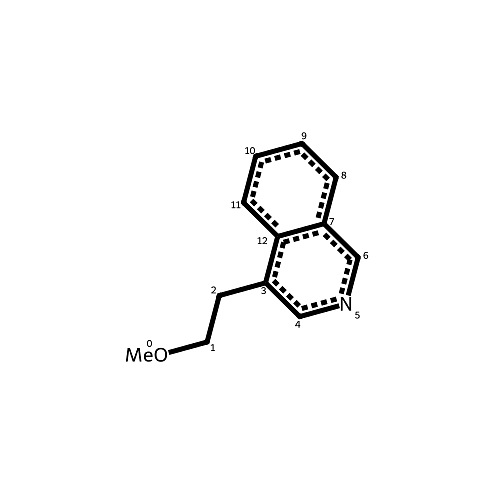 COCCc1cncc2ccccc12